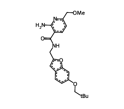 COCc1ccc(C(=O)NCc2cc3ccc(OCC(C)(C)C)cc3o2)c(N)n1